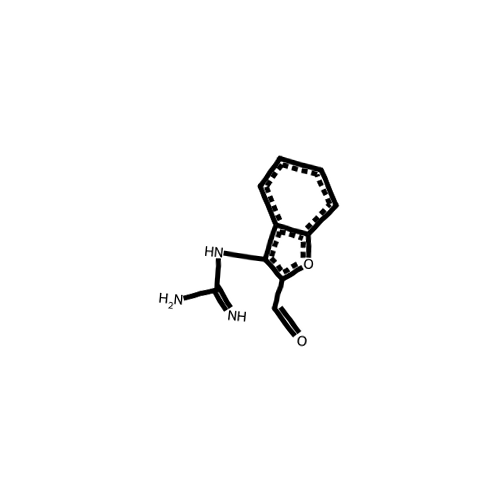 N=C(N)Nc1c(C=O)oc2ccccc12